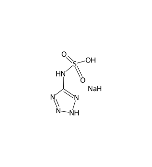 O=S(=O)(O)Nc1nn[nH]n1.[NaH]